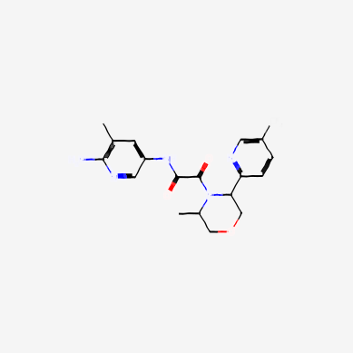 Cc1cc(NC(=O)C(=O)N2C(C)COCC2c2ccc(C(F)(F)F)cn2)cnc1N